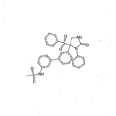 CS(=O)(=O)Nc1cccc(-c2cccc(C3(S(=O)(=O)c4ccccc4)CNC(=O)N3c3ccccc3)c2)c1